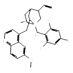 C=CC1C[N+]2(Cc3c(F)cc(F)cc3F)CCC1C[C@H]2[C@H](O)c1ccnc2ccc(OC)cc12